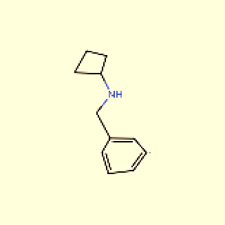 [c]1cccc(CNC2CCC2)c1